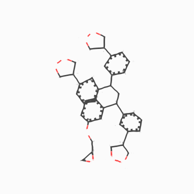 c1cc(OCC2CO2)cc(C(CC(c2cccc(C3COOC3)c2)c2cccc(C3COOC3)c2)c2cccc(C3COOC3)c2)c1